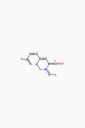 C=C(C)/C=C\C(=C\C(=C=O)/N=C\C)CC